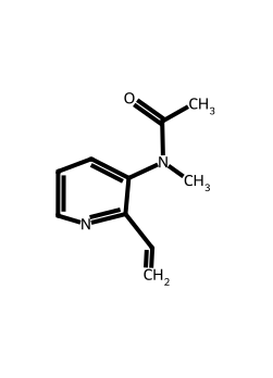 C=Cc1ncccc1N(C)C(C)=O